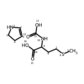 C1=CNCC1.CSCCC(NC(=O)O)C(=O)O